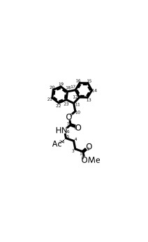 COC(=O)CC[C@@H](NC(=O)OCC1c2ccccc2-c2ccccc21)C(C)=O